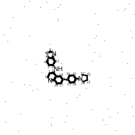 c1cc(Nc2ccc3scnc3c2)c2cc(-c3ccc(N4CCCC4)cc3)ccc2n1